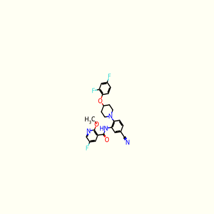 COc1ncc(F)cc1C(=O)Nc1cc(C#N)ccc1N1CCC(Oc2ccc(F)cc2F)CC1